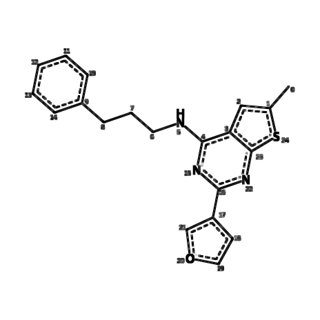 Cc1cc2c(NCCCc3ccccc3)nc(-c3ccoc3)nc2s1